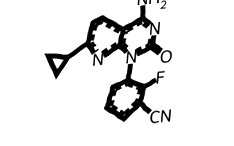 N#Cc1cccc(-n2c(=O)nc(N)c3ccc(C4CC4)nc32)c1F